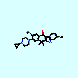 CCCc1cc2c(cc1N1CCN(C3CC3)CC1)C(C)(C)c1[nH]c3cc(C#N)ccc3c1C2=O